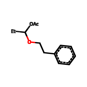 CCC(OCCc1ccccc1)OC(C)=O